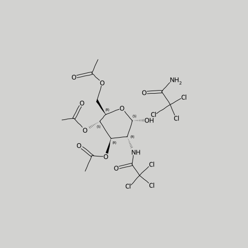 CC(=O)OC[C@H]1O[C@H](O)[C@H](NC(=O)C(Cl)(Cl)Cl)[C@@H](OC(C)=O)[C@@H]1OC(C)=O.NC(=O)C(Cl)(Cl)Cl